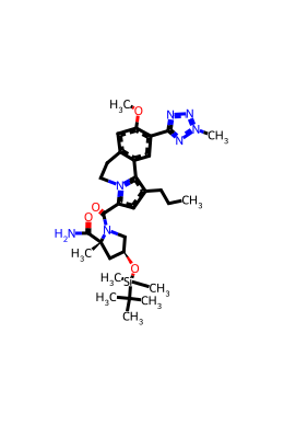 CCCc1cc(C(=O)N2C[C@@H](O[Si](C)(C)C(C)(C)C)C[C@]2(C)C(N)=O)n2c1-c1cc(-c3nnn(C)n3)c(OC)cc1CC2